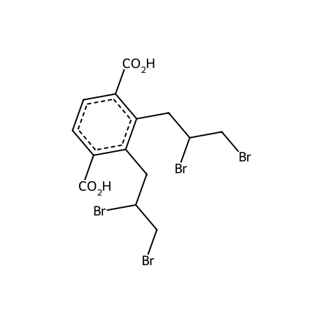 O=C(O)c1ccc(C(=O)O)c(CC(Br)CBr)c1CC(Br)CBr